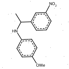 COc1ccc(NC(C)c2cccc([N+](=O)[O-])c2)cc1